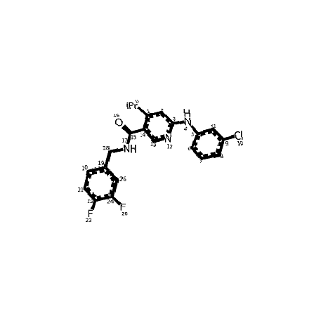 CC(C)c1cc(Nc2cccc(Cl)c2)ncc1C(=O)NCc1ccc(F)c(F)c1